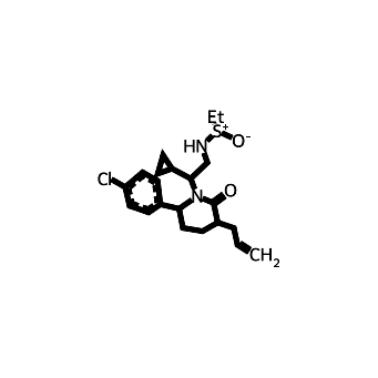 C=CCC1CCC(c2ccc(Cl)cc2)N(C(CN[S+]([O-])CC)C2CC2)C1=O